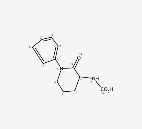 O=C(O)NC1CCCN(c2ccccc2)C1=O